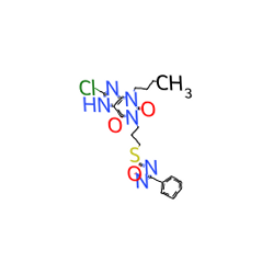 CCCCn1c(=O)n(CCCSc2nc(-c3ccccc3)no2)c(=O)c2[nH]c(Cl)nc21